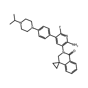 CC(C)N1CCN(c2ccc(-c3cc(N4CC5(CC5)c5ccccc5C4=O)c(N)nc3F)cc2)CC1